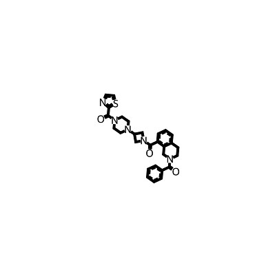 O=C(c1ccccc1)N1CCc2cccc(C(=O)N3CC(N4CCN(C(=O)c5nccs5)CC4)C3)c2C1